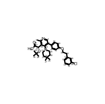 Cc1ncc(-c2ccc(OCCc3cccc(Cl)c3)cc2)c(N2CCC(C)(C)CC2)c1[C@H](OC(C)(C)C)C(=O)O